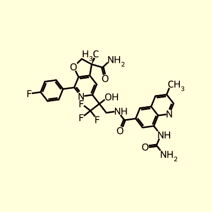 Cc1cnc2c(NC(N)=O)cc(C(=O)NCC(O)(c3cc4c(c(-c5ccc(F)cc5)n3)OC[C@]4(C)C(N)=O)C(F)(F)F)cc2c1